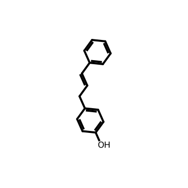 Oc1ccc(C/C=C/c2ccccc2)cc1